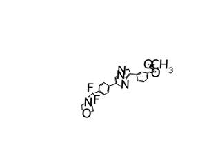 CS(=O)(=O)c1cccc(-c2cnn3cc(-c4ccc(C(F)(F)CN5CCOCC5)cc4)cnc23)c1